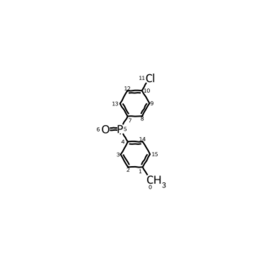 Cc1ccc([P](=O)c2ccc(Cl)cc2)cc1